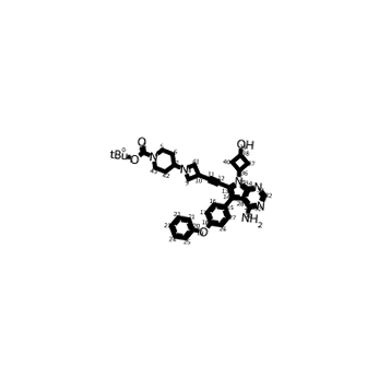 CC(C)(C)OC(=O)N1CCC(N2CC(C#Cc3c(-c4ccc(Oc5ccccc5)cc4)c4c(N)ncnc4n3C3CC(O)C3)C2)CC1